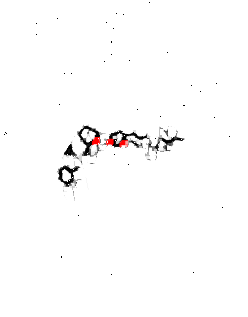 Cc1onc(OCCCc2ccc(OC3=C(C(=O)N(Cc4cccc(Cl)c4Cl)C4CC4)C4CCC(C3)N4C(=O)OCCOCCO[N+](=O)[O-])cc2)c1F